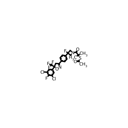 CC(=O)SC(C)(C)C(=O)N1CC(F)(c2ccc(C3=NOC(c4cc(Cl)c(F)c(Cl)c4)(C(F)(F)F)C3)cc2)C1